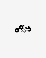 Cc1cccnc1COc1c(C)ccc(-c2ccccc2)c1C(=O)O